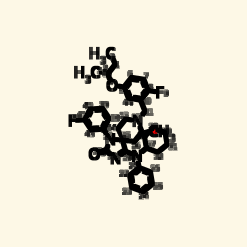 CC[C@@H](C)Oc1ccc(F)c(CN2CC[C@@]3(C[C@@H]2C)C(N(c2ccccc2)C2CCCCC2)=NC(=O)N3c2cccc(F)c2)c1